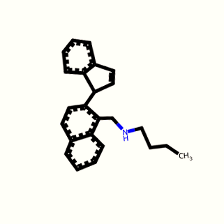 CCCCNCc1c(C2C=Cc3ccccc32)ccc2ccccc12